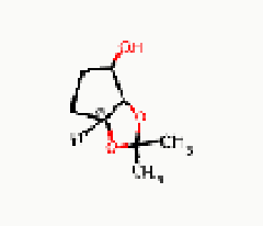 CC1(C)OC2C(O)CC[C@H]2O1